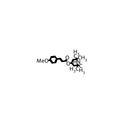 COc1ccc(/C=C/C(=O)OC2CC(C)(C)NC(C)(C)C2)cc1